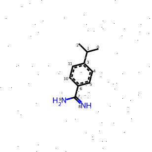 CC(C)c1ccc(C(=N)N)cc1